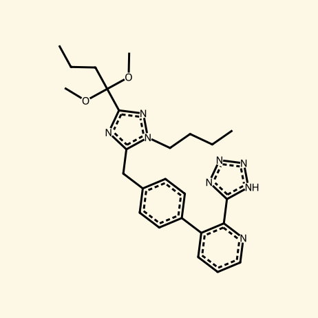 CCCCn1nc(C(CCC)(OC)OC)nc1Cc1ccc(-c2cccnc2-c2nnn[nH]2)cc1